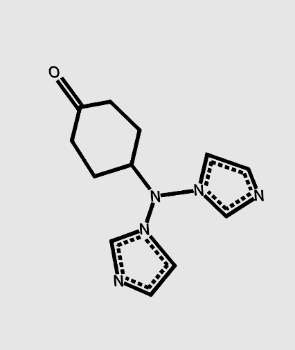 O=C1CCC(N(n2ccnc2)n2ccnc2)CC1